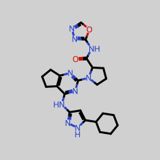 O=C(Nc1nnco1)C1CCCN1c1nc2c(c(Nc3cc(C4CCCCC4)[nH]n3)n1)CCC2